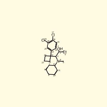 CCC(O)C(N(C)C1CCCCC1)C1(c2ccc(Cl)c(Cl)c2)CCC1